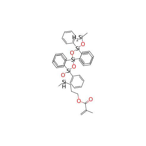 C=C(C)C(=O)OCCC[SiH](C)O[Si](O[Si](O[Si](O[SiH2]C)(c1ccccc1)c1ccccc1)(c1ccccc1)c1ccccc1)(c1ccccc1)c1ccccc1